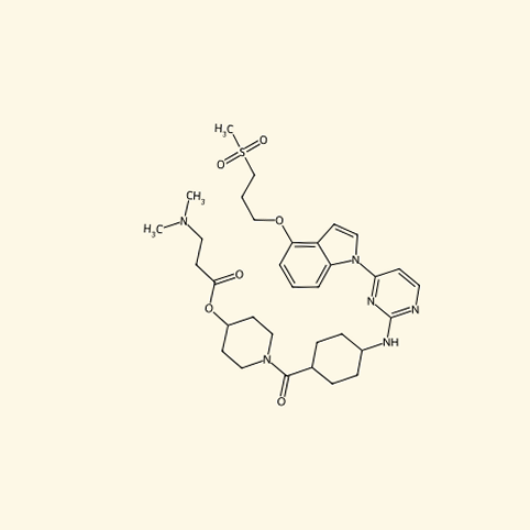 CN(C)CCC(=O)OC1CCN(C(=O)C2CCC(Nc3nccc(-n4ccc5c(OCCCS(C)(=O)=O)cccc54)n3)CC2)CC1